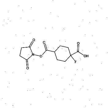 O=C(ON1C(=O)CCC1=O)C1CCC(F)(C(=O)O)CC1